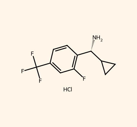 Cl.N[C@@H](c1ccc(C(F)(F)F)cc1F)C1CC1